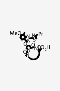 COc1ccc2c(OC3CC4C(=O)NC5(C(=O)O)CC5C=CCCCCN(C)C(=O)N4C3)nc(-c3nc(C(C)C)cs3)nc2c1C